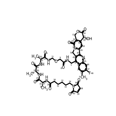 Cc1cc2c(CNC(=O)COCNC(=O)[C@H](C)NC(=O)[C@@H](C)NC(=O)[C@H](C)NC(=O)CCCCCN3C(=O)C=CC3=O)c3c(nc2cc1F)-c1cc2c(c(=O)n1C3)COC(=O)[C@H]2O